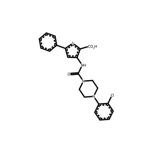 O=C(O)c1sc(-c2ccccc2)cc1NC(=O)N1CCN(c2ccccc2Cl)CC1